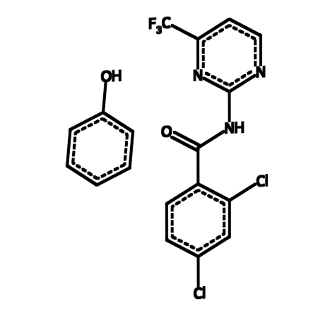 O=C(Nc1nccc(C(F)(F)F)n1)c1ccc(Cl)cc1Cl.Oc1ccccc1